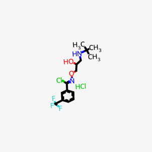 CC(C)(C)NCC(O)CO/N=C(\Cl)c1cccc(C(F)(F)F)c1.Cl